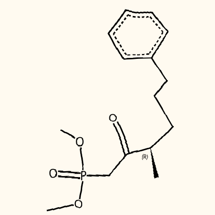 COP(=O)(CC(=O)[C@H](C)CCCc1ccccc1)OC